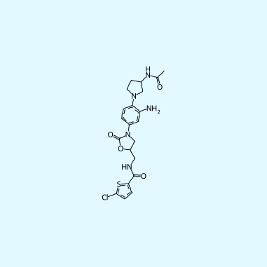 CC(=O)NC1CCN(c2ccc(N3CC(CNC(=O)c4ccc(Cl)s4)OC3=O)cc2N)C1